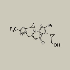 CC(C)c1sc2nc(Cn3nc(C(F)(F)F)cc3C3CC3)cc(=O)n2c1[C@@H]1C[C@H]1CO